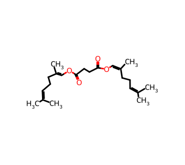 CC(C)=CCCC(C)=COC(=O)CCC(=O)OC=C(C)CCC=C(C)C